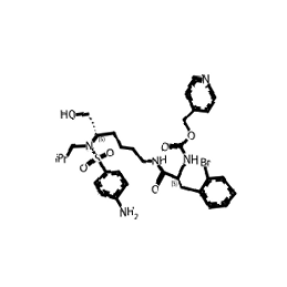 CC(C)CN([C@H](CO)CCCCNC(=O)[C@H](Cc1ccccc1Br)NC(=O)OCc1ccncc1)S(=O)(=O)c1ccc(N)cc1